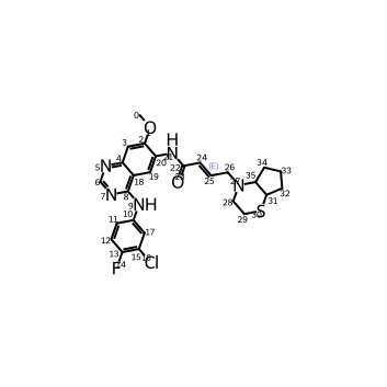 COc1cc2ncnc(Nc3ccc(F)c(Cl)c3)c2cc1NC(=O)/C=C/CN1CCSC2CCCC21